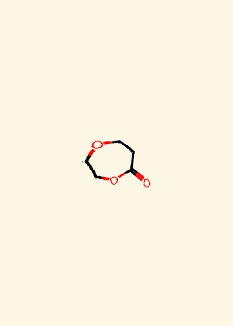 O=C1CCO[CH]CO1